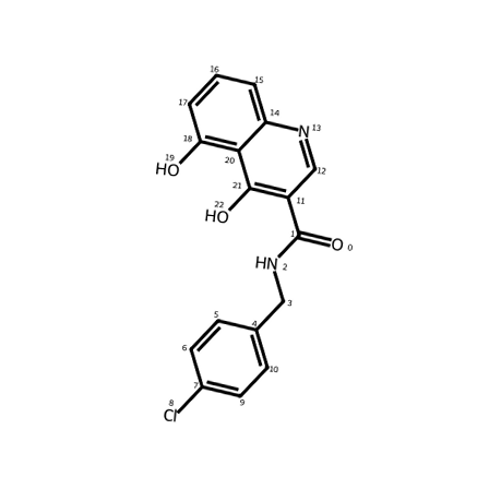 O=C(NCc1ccc(Cl)cc1)c1cnc2cccc(O)c2c1O